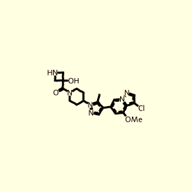 COc1cc(-c2cnn(C3CCN(C(=O)C4(O)CNC4)CC3)c2C)cn2ncc(Cl)c12